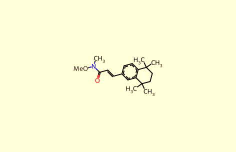 CON(C)C(=O)/C=C/c1ccc2c(c1)C(C)(C)CCC2(C)C